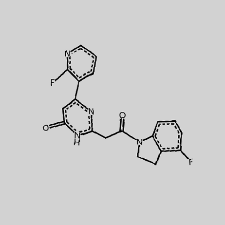 O=C(Cc1nc(-c2cccnc2F)cc(=O)[nH]1)N1CCc2c(F)cccc21